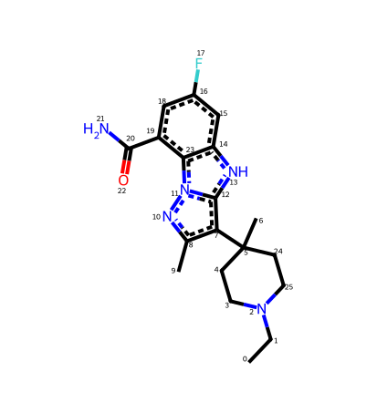 CCN1CCC(C)(c2c(C)nn3c2[nH]c2cc(F)cc(C(N)=O)c23)CC1